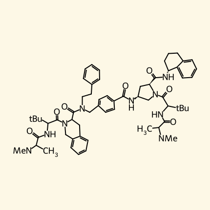 CNC(C)C(=O)NC(C(=O)N1Cc2ccccc2CC1C(=O)N(CCc1ccccc1)Cc1ccc(C(=O)N[C@H]2C[C@@H](C(=O)N[C@@H]3CCCc4ccccc43)N(C(=O)C(NC(=O)C(C)NC)C(C)(C)C)C2)cc1)C(C)(C)C